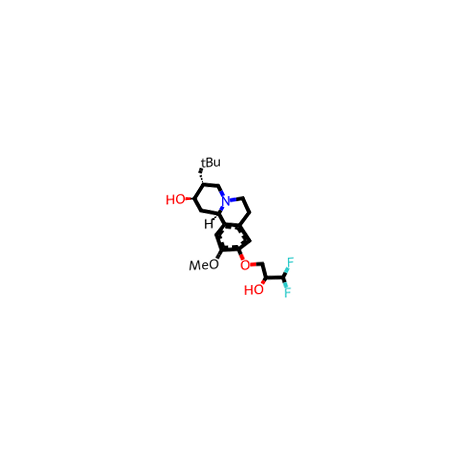 COc1cc2c(cc1OCC(O)C(F)F)CCN1C[C@@H](CC(C)(C)C)[C@H](O)C[C@H]21